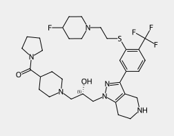 O=C(C1CCN(C[C@H](O)Cn2nc(-c3ccc(C(F)(F)F)c(SCCN4CCC(F)CC4)c3)c3c2CCNC3)CC1)N1CCCC1